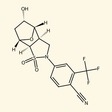 N#Cc1ccc(N2C[C@@H]3[C@@H]4O[C@@H](C[C@@H]4O)[C@@H]3S2(=O)=O)cc1C(F)(F)F